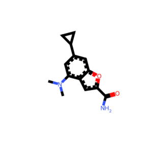 CN(C)c1cc(C2CC2)cc2oc(C(N)=O)cc12